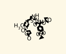 C[C@H]1CN(Cc2cnc(NC(=O)/C(=N/O[C@@H]3CCOC3)c3ccc(S(=O)(=O)C4CC4)cc3)s2)CCN1C(=O)[C@@H]1CCC(=O)O1